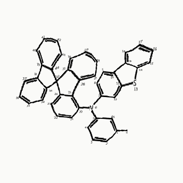 Cc1cccc(N(c2ccc3c(c2)sc2ccccc23)c2cccc3c2-c2ccccc2C32c3ccccc3-c3ccccc32)c1